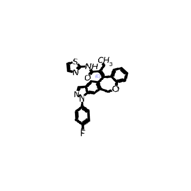 CC/C(C(=O)Nc1nccs1)=C1/c2cc3cnn(-c4ccc(F)cc4)c3cc2COc2ccccc21